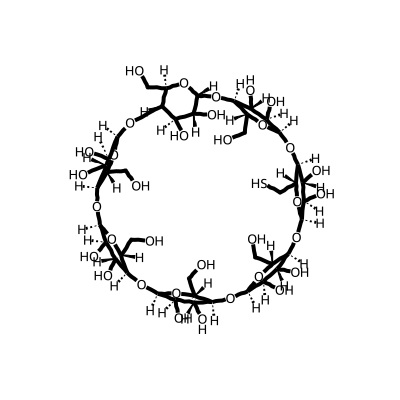 OC[C@H]1O[C@@H]2O[C@H]3[C@H](O)[C@@H](O)[C@@H](O[C@H]4[C@H](O)[C@@H](O)[C@@H](O[C@H]5[C@H](O)[C@@H](O)[C@@H](O[C@H]6[C@H](O)[C@@H](O)[C@@H](O[C@H]7[C@H](O)[C@@H](O)[C@@H](O[C@H]8[C@H](O)[C@@H](O)[C@@H](O[C@H]1[C@H](O)[C@H]2O)O[C@@H]8CO)O[C@@H]7CO)O[C@@H]6CO)O[C@@H]5CS)O[C@@H]4CO)O[C@@H]3CO